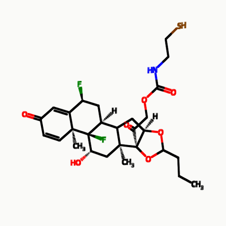 CCCC1O[C@@H]2CC3[C@@H]4C[C@H](F)C5=CC(=O)C=C[C@]5(C)[C@@]4(F)[C@@H](O)C[C@]3(C)[C@]2(C(=O)COC(=O)NCCS)O1